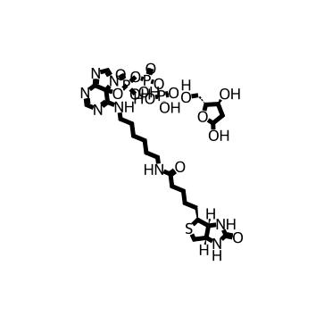 O=C(CCCC[C@@H]1SC[C@@H]2NC(=O)N[C@@H]21)NCCCCCCNC1=NC=NC2=NC=NC21OP(=O)(O)OP(=O)(O)OP(=O)(O)O.OC[C@H]1OC(O)C[C@@H]1O